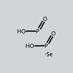 O=PO.O=PO.[Se]